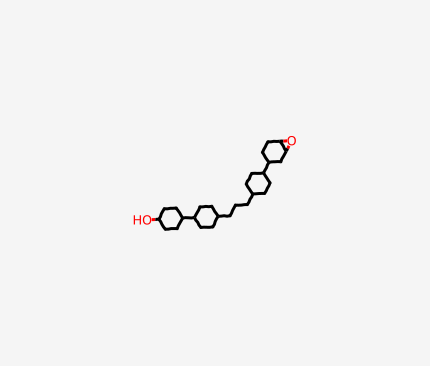 OC1CCC(C2CCC(CCCC3CCC(C4CCC5OC5C4)CC3)CC2)CC1